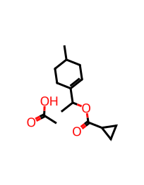 CC(=O)O.CC1CC=C(C(C)OC(=O)C2CC2)CC1